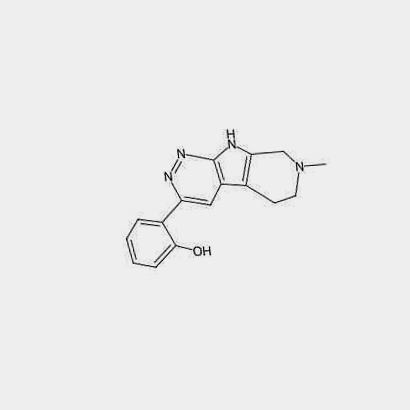 CN1CCc2c([nH]c3nnc(-c4ccccc4O)cc23)C1